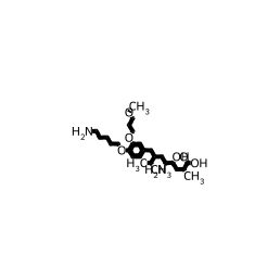 COCCCOc1cc(CC(CC(N)C(O)CC(C)C(=O)O)C(C)C)ccc1OCCCCCN